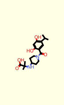 CC(C)c1cc(C(=O)N2CCC(NC(C)(C)C(=O)O)CC2)c(O)cc1O